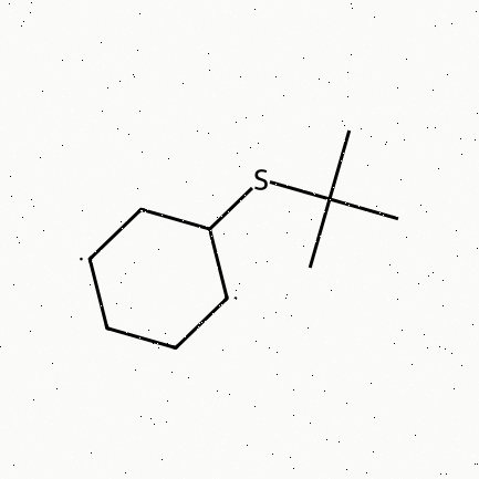 CC(C)(C)SC1[CH]CC[CH]C1